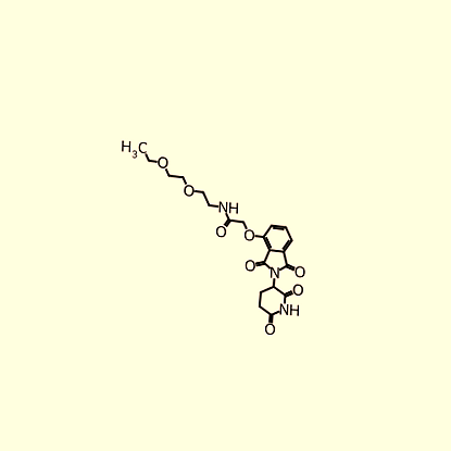 CCOCCOCCNC(=O)COc1cccc2c1C(=O)N(C1CCC(=O)NC1=O)C2=O